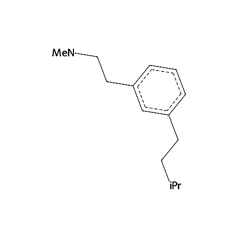 CNCCc1cccc(CCC(C)C)c1